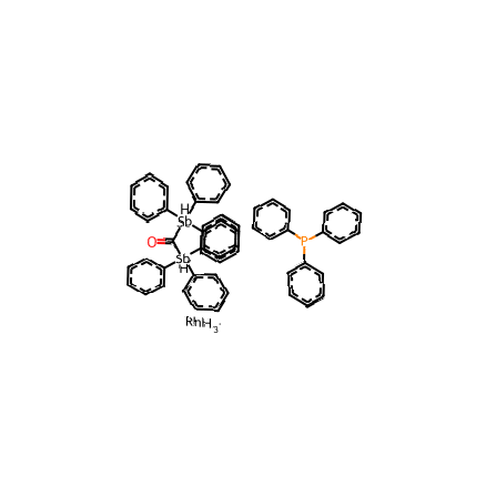 O=[C]([SbH]([c]1ccccc1)([c]1ccccc1)[c]1ccccc1)[SbH]([c]1ccccc1)([c]1ccccc1)[c]1ccccc1.[RhH3].c1ccc(P(c2ccccc2)c2ccccc2)cc1